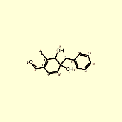 O=CC1=C(I)C(O)C(O)(Cc2ccccc2)C=C1